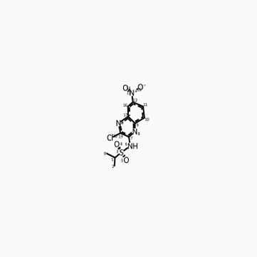 CC(C)S(=O)(=O)Nc1nc2ccc([N+](=O)[O-])cc2nc1Cl